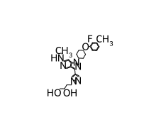 CCNc1cc2c(cn1)c(-c1cnn(CC[C@@H](O)CO)c1)nn2C1CCC(Oc2cccc(C)c2F)CC1